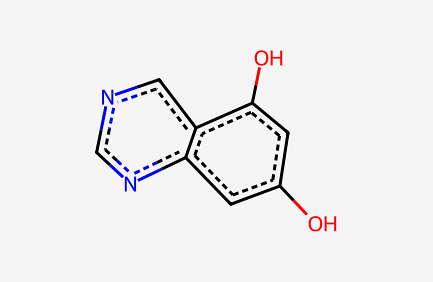 Oc1cc(O)c2cncnc2c1